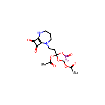 CC(C)(C)C(=O)OCOC(CCN1CCCNc2c1c(=O)c2=O)(O[PH2]=O)OC(=O)C(C)(C)C